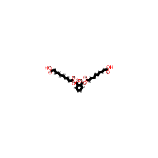 O=C(O)CCCCCCCCC(=O)OC(=O)C1CCCCC1C(=O)OC(=O)CCCCCCCCC(=O)O